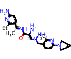 CCc1nc(N)ccc1[C@@H](C)NC(=O)/C(N)=C/N(N)Cc1ccc(N2CC3CC3C2)nc1C(F)(F)F